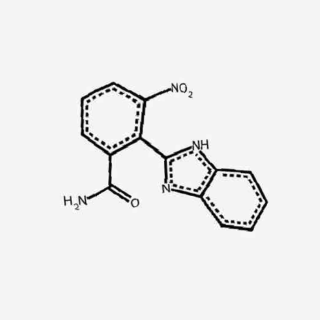 NC(=O)c1cccc([N+](=O)[O-])c1-c1nc2ccccc2[nH]1